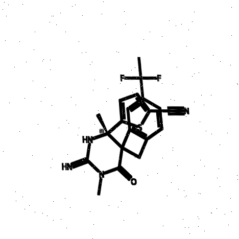 CN1C(=N)N[C@](C)(c2ccc(C#N)s2)C2(Cc3ccc(C(C)(F)F)cc32)C1=O